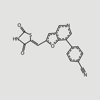 N#Cc1ccc(-c2cncc3cc(/C=C4\SC(=O)NC4=O)oc23)cc1